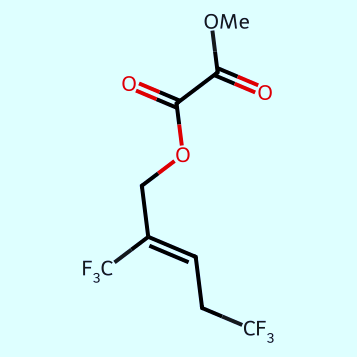 COC(=O)C(=O)OC/C(=C/CC(F)(F)F)C(F)(F)F